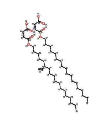 CCCCCCCCCCCCCCCCCCOC(=O)/C=C\C(=O)[O-].CCCCCCCCCCCCCCCCCCOC(=O)/C=C\C(=O)[O-].[Mg+2]